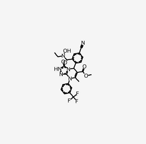 CCN(O)C(=O)c1cc(C#N)ccc1C1C(C(=O)OC)=C(C)N(c2cccc(C(F)(F)F)c2)c2n[nH]c(=O)n21